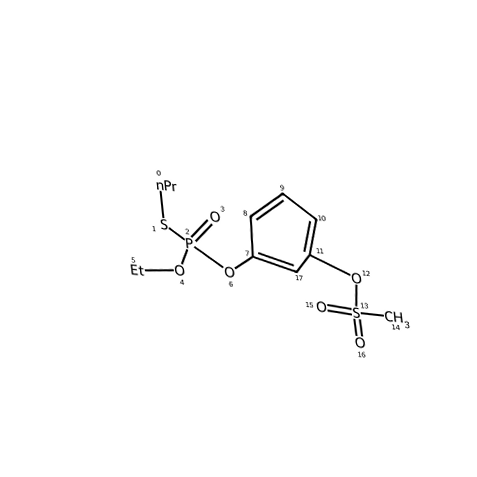 CCCSP(=O)(OCC)Oc1cccc(OS(C)(=O)=O)c1